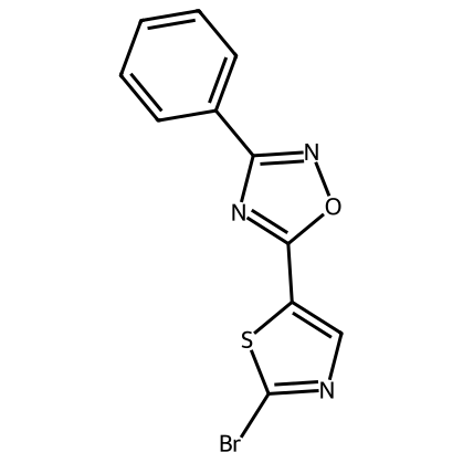 Brc1ncc(-c2nc(-c3ccccc3)no2)s1